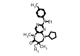 CCN(c1ccc(C)cc1)c1ncc2c(n1)N(C1CCCC1)CC(C)(C)C(=O)N2C